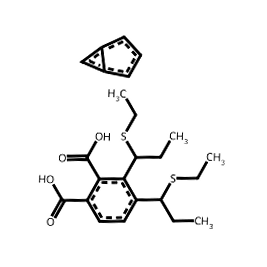 CCSC(CC)c1ccc(C(=O)O)c(C(=O)O)c1C(CC)SCC.c1cc2cc-2c1